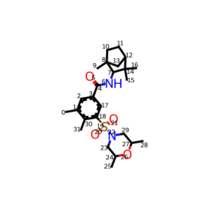 Cc1cc(C(=O)NC2C3(C)CCC(C3)C2(C)C)cc(S(=O)(=O)N2CC(C)OC(C)C2)c1C